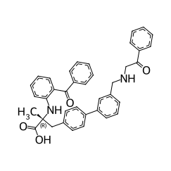 C[C@](Cc1ccc(-c2cccc(CNCC(=O)c3ccccc3)c2)cc1)(Nc1ccccc1C(=O)c1ccccc1)C(=O)O